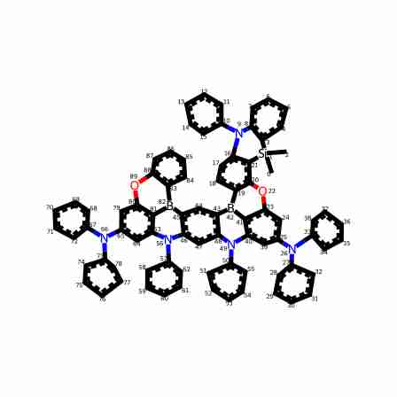 C[Si]1(C)c2ccccc2N(c2ccccc2)c2ccc3c(c21)Oc1cc(N(c2ccccc2)c2ccccc2)cc2c1B3c1cc3c(cc1N2c1ccccc1)N(c1ccccc1)c1cc(N(c2ccccc2)c2ccccc2)cc2c1B3c1ccccc1O2